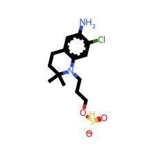 CC1(C)CCc2cc(N)c(Cl)cc2N1CCCO[SH](=O)=O